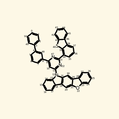 c1ccc(-c2cccc(-c3cc(-n4c5ccccc5c5cc6oc7ccccc7c6cc54)nc(-c4cccc5c4sc4ccccc45)n3)c2)cc1